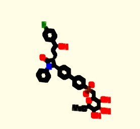 CO[C@H]1OC(CS(=O)(=O)c2ccc(-c3ccc([C@@H]4[C@@H](CC[C@H](O)c5ccc(F)cc5)C(=O)N4c4ccccc4)cc3)cc2)[C@@H](O)[C@H](O)C1O